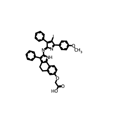 COc1ccc(C2=NC(=Nc3[nH]c4c(c3-c3ccccc3)CCc3cc(OCC(=O)O)ccc3-4)C(c3ccccc3)=C2I)cc1